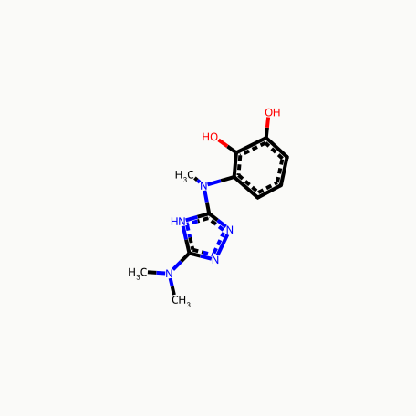 CN(C)c1nnc(N(C)c2cccc(O)c2O)[nH]1